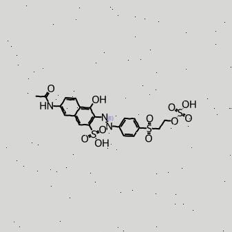 CC(=O)Nc1ccc2c(O)c(/N=N/c3ccc(S(=O)(=O)CCOS(=O)(=O)O)cc3)c(S(=O)(=O)O)cc2c1